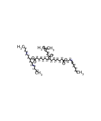 CCC/C=C/CCC(CC/C=C/CCC)OC(=O)CCCCCCN(CCCCCCC(=O)OC/C=C\CCCCCC)C(=O)SCCN(C)C